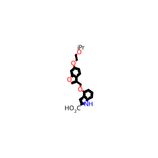 CC(C)OCCOc1ccc2c(COc3cccc4[nH]c(C(=O)O)cc34)coc2c1